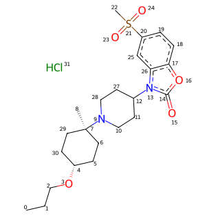 CCCO[C@H]1CC[C@](C)(N2CCC(n3c(=O)oc4ccc(S(C)(=O)=O)cc43)CC2)CC1.Cl